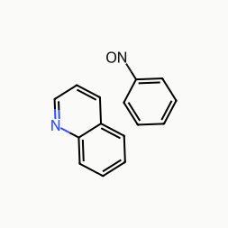 O=Nc1ccccc1.c1ccc2ncccc2c1